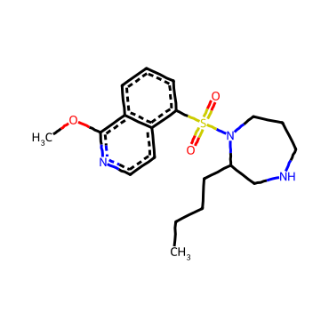 CCCCC1CNCCCN1S(=O)(=O)c1cccc2c(OC)nccc12